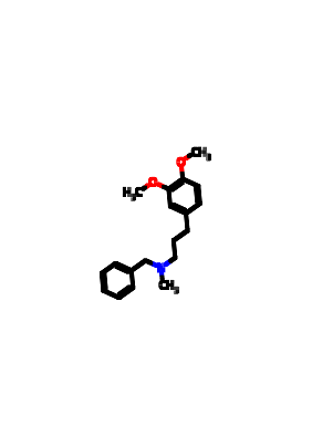 COc1ccc(CCCN(C)Cc2ccccc2)cc1OC